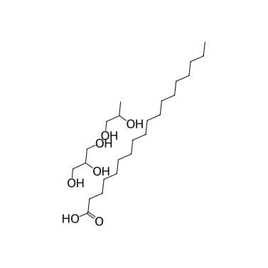 CC(O)CO.CCCCCCCCCCCCCCCCCC(=O)O.OCC(O)CO